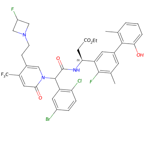 CCOC(=O)C[C@H](NC(=O)C(c1cc(Br)ccc1Cl)n1cc(CCN2CC(F)C2)c(C(F)(F)F)cc1=O)c1cc(-c2c(C)cccc2O)cc(C)c1F